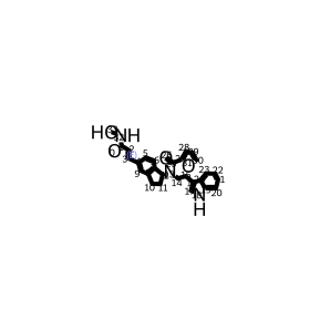 O=C(/C=C/c1ccc2c(c1)CCC2N(CCc1c[nH]c2ccccc12)C(=O)c1ccco1)NO